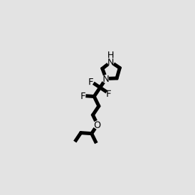 CCC(C)OCCC(F)C(F)(F)N1CCNC1